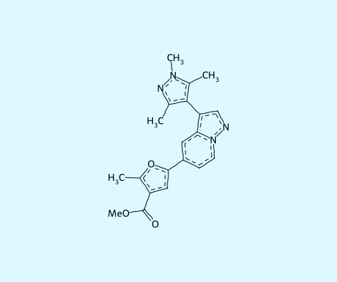 COC(=O)c1cc(-c2ccn3ncc(-c4c(C)nn(C)c4C)c3c2)oc1C